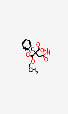 CCOC(=O)C(C)(CC(=O)O)C(=O)O.c1ccccc1